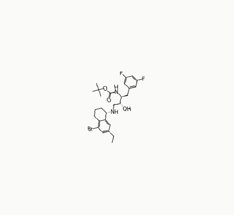 CCc1cc(Br)c2c(c1)[C@@H](NC[C@@H](O)[C@H](Cc1cc(F)cc(F)c1)NC(=O)OC(C)(C)C)CCC2